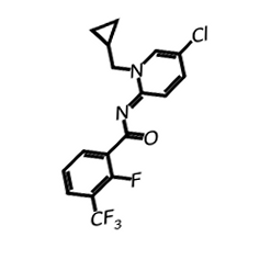 O=C(/N=c1\ccc(Cl)cn1CC1CC1)c1cccc(C(F)(F)F)c1F